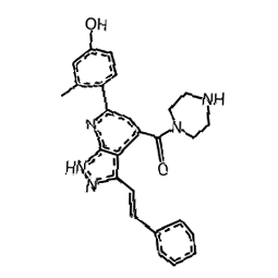 Cc1cc(O)ccc1-c1cc(C(=O)N2CCNCC2)c2c(C=Cc3ccccc3)n[nH]c2n1